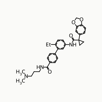 CCc1ccc(NC(=O)C2(c3ccc4c(c3)OCO4)CC2)cc1-c1ccc(C(=O)NCCCN(C)C)cc1